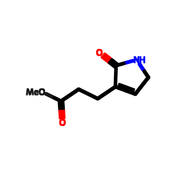 COC(=O)CCC1=CCNC1=O